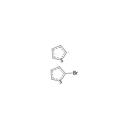 Brc1cccs1.[c]1cccs1